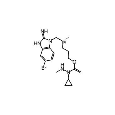 C=C(OCCC[C@@H](C)Cn1c(=N)[nH]c2cc(Br)ccc21)N(NC)C1CC1